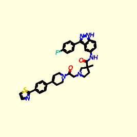 CC1(C(=O)Nc2ccc3[nH]nc(-c4ccc(F)cc4)c3c2)CCN(CC(=O)N2CC=C(c3ccc(-c4nccs4)cc3)CC2)C1